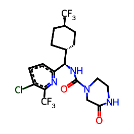 O=C1CN(C(=O)N[C@@H](c2ccc(Cl)c(C(F)(F)F)n2)[C@H]2CC[C@H](C(F)(F)F)CC2)CCN1